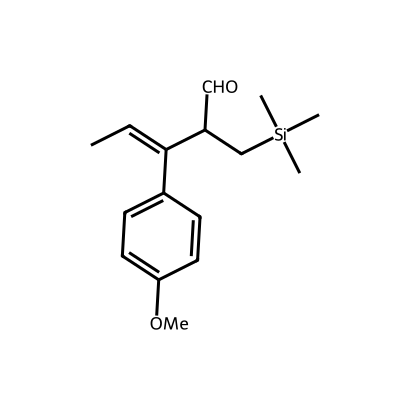 C/C=C(\c1ccc(OC)cc1)C(C=O)C[Si](C)(C)C